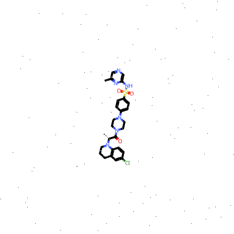 Cc1cncc(NS(=O)(=O)c2ccc(N3CCN(C(=O)[C@@H](C)N4CCCc5cc(Cl)ccc54)CC3)cc2)n1